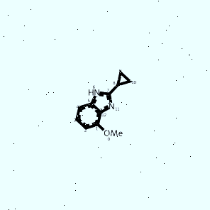 COc1cccc2[nH]c(C3CC3)nc12